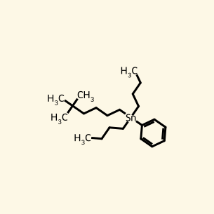 CCC[CH2][Sn]([CH2]CCC)([CH2]CCCC(C)(C)C)[c]1ccccc1